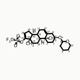 C[C@]12CC[C@H](OC3CCCCO3)CC1=CCC1[C@@H]2CC[C@]2(C)C(OS(=O)(=O)C(F)(F)F)=CC[C@@H]12